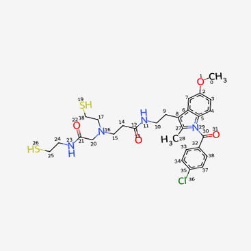 COc1ccc2c(c1)c(CCNC(=O)CCN(CCS)CC(=O)NCCS)c(C)n2C(=O)c1ccc(Cl)cc1